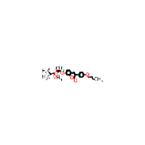 C=C(C)C(=O)OC(C)(C)COc1ccc2cc(-c3ccc(OCCCC)cc3)c(=O)oc2c1